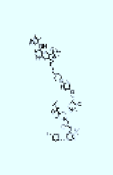 Cc1n[nH]c(Nc2ncnc3cc(OCCCN4CCN(c5ncc(OCCN6CCN(C[C@H]7CN(C(=O)OC(C)(C)C)[C@H](C)CN7CC(=O)N7CC(C)(C)c8ncc(Cc9ccc(F)cc9)cc87)[C@H](C)C6=O)cn5)CC4)c(S(=O)(=O)C(C)(C)C)cc23)c1C